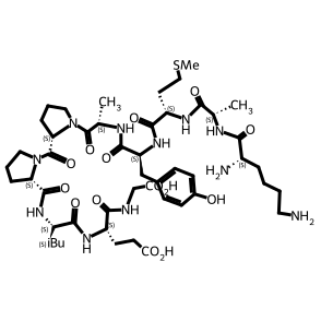 CC[C@H](C)[C@H](NC(=O)[C@@H]1CCCN1C(=O)[C@@H]1CCCN1C(=O)[C@H](C)NC(=O)[C@H](Cc1ccc(O)cc1)NC(=O)[C@H](CCSC)NC(=O)[C@H](C)NC(=O)[C@@H](N)CCCCN)C(=O)N[C@@H](CCC(=O)O)C(=O)NCC(=O)O